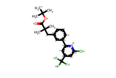 CC(C)(C)OC(=O)C(C)(C)Cc1cccc(-c2cc(C(F)(F)F)cc(Cl)n2)c1